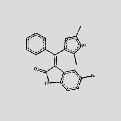 Cc1cc(C(=C2C(=O)Nc3ccc(Br)cc32)c2ccccc2)c(C)[nH]1